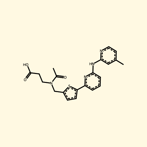 CC(=O)N(CCC(=O)O)Cc1ccc(-c2cccc(Nc3cc(C)ccn3)n2)s1